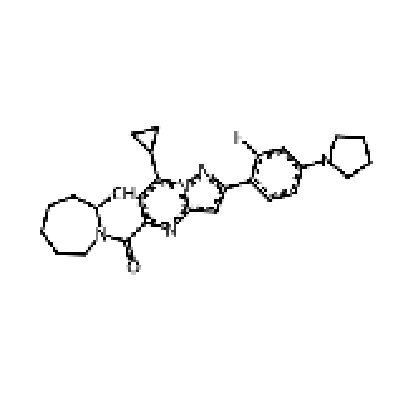 C[C@@H]1CCCCCN1C(=O)c1cc(C2CC2)n2nc(-c3ccc(N4CCCC4)cc3F)cc2n1